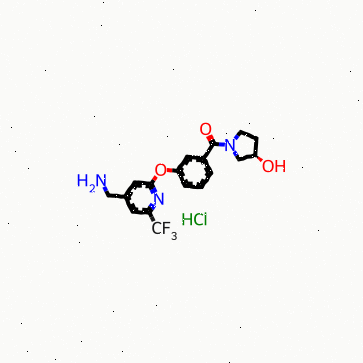 Cl.NCc1cc(Oc2cccc(C(=O)N3CC[C@@H](O)C3)c2)nc(C(F)(F)F)c1